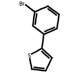 Brc1cccc(-c2[c]ccs2)c1